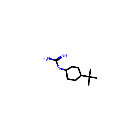 CC(C)(C)C1CCC(NC(=N)N)CC1